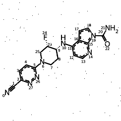 N#Cc1ccc(N2CC[C@@H](Nc3ccnc4c3ccn4C(N)=O)[C@@H](F)C2)nn1